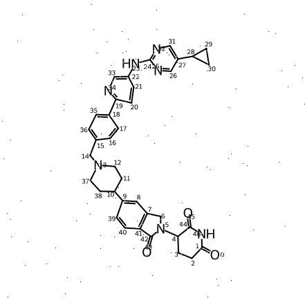 O=C1CCC(N2Cc3cc(C4CCN(Cc5ccc(-c6ccc(Nc7ncc(C8CC8)cn7)cn6)cc5)CC4)ccc3C2=O)C(=O)N1